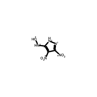 O=[N+]([O-])c1n[nH]c(NO)c1[N+](=O)[O-]